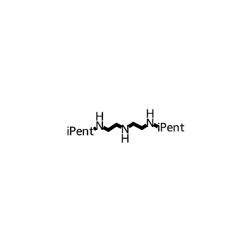 CCCC(C)NCCNCCNC(C)CCC